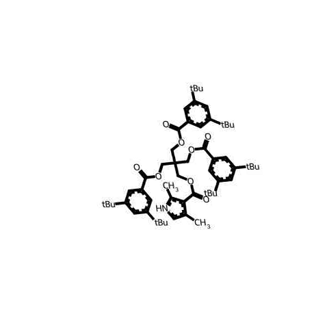 Cc1c[nH]c(C)c1C(=O)OCC(COC(=O)c1cc(C(C)(C)C)cc(C(C)(C)C)c1)(COC(=O)c1cc(C(C)(C)C)cc(C(C)(C)C)c1)COC(=O)c1cc(C(C)(C)C)cc(C(C)(C)C)c1